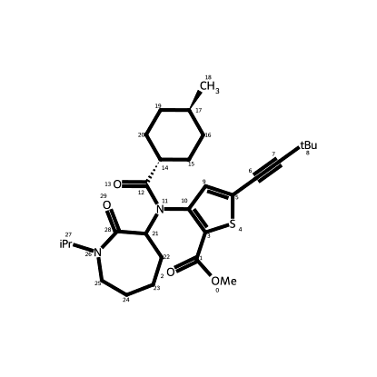 COC(=O)c1sc(C#CC(C)(C)C)cc1N(C(=O)[C@H]1CC[C@H](C)CC1)C1CCCCN(C(C)C)C1=O